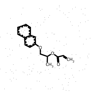 C=CC(=O)OC(C)COc1[c]c2ccccc2cc1